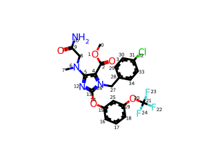 COC(=O)c1c(N(C)CC(N)=O)nc(Oc2cccc(OC(F)(F)F)c2)n1Cc1ccc(Cl)cc1